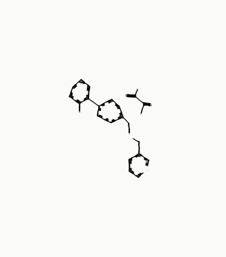 Clc1ccccc1-c1ccc(COCc2cccnc2)cc1.O=C(O)C(=O)O